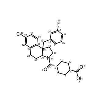 O=C(O)[C@H]1CC[C@H](C(=O)N2CCC3(Cc4cccc(F)c4)c4ccc(Cl)cc4CCC23)CC1